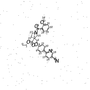 CCOC(=O)C1(COc2ccc(-c3ccc(C#N)cn3)cc2)CCN(C(=O)c2ccccc2OC)C1